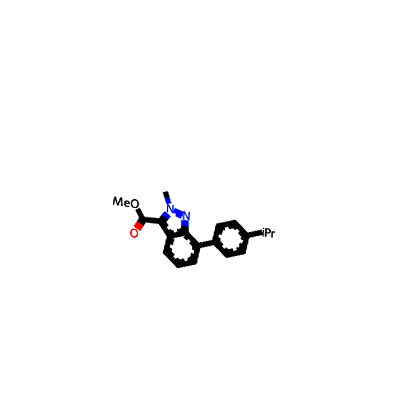 COC(=O)c1c2cccc(-c3ccc(C(C)C)cc3)c2nn1C